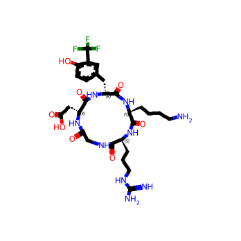 N=C(N)NCCC[C@@H]1NC(=O)[C@H](CCCCN)NC(=O)[C@@H](Cc2ccc(O)c(C(F)(F)F)c2)NC(=O)[C@@H](CC(=O)O)NC(=O)CNC1=O